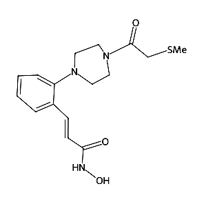 CSCC(=O)N1CCN(c2ccccc2C=CC(=O)NO)CC1